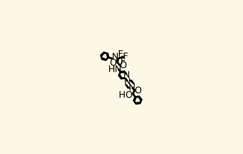 O=C(Nc1ccc(N2CCN(C(=O)C(O)c3ccccc3)CC2)nc1)c1oc(-c2ccccc2)nc1C(F)(F)F